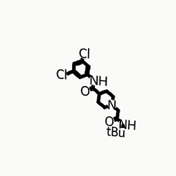 CC(C)(C)NC(=O)CN1CCC(C(=O)Nc2cc(Cl)cc(Cl)c2)CC1